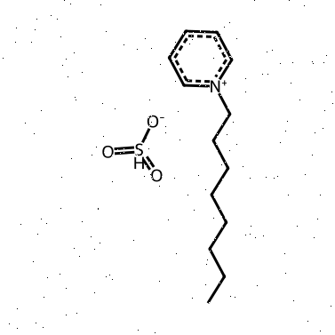 CCCCCCCC[n+]1ccccc1.O=[SH](=O)[O-]